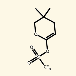 CC1(C)CC=C(OS(=O)(=O)C(F)(F)F)OC1